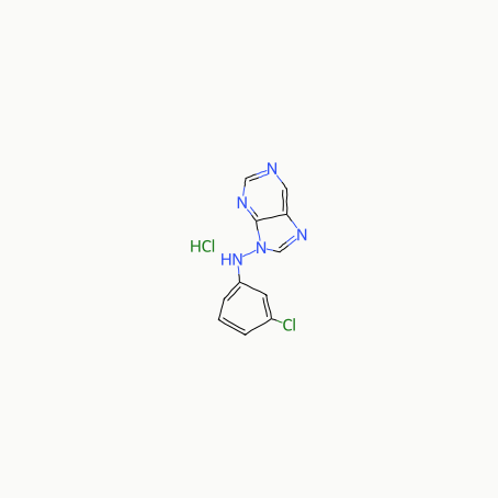 Cl.Clc1cccc(Nn2cnc3cncnc32)c1